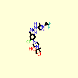 Cc1c(Nc2ncc3cc(Cl)c(N4CCN(C5(C)COCC5O)CC4)cc3n2)cnn1C1CC1(F)F